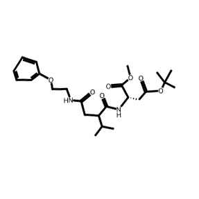 COC(=O)[C@H](CC(=O)OC(C)(C)C)NC(=O)C(CC(=O)NCCOc1ccccc1)C(C)C